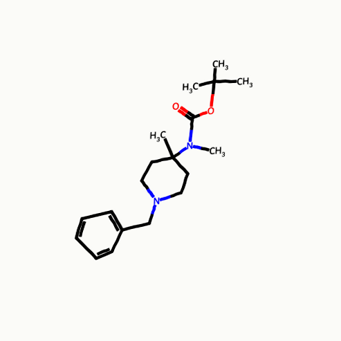 CN(C(=O)OC(C)(C)C)C1(C)CCN(Cc2ccccc2)CC1